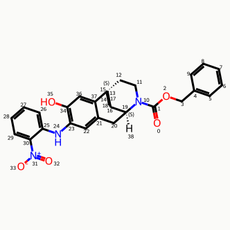 O=C(OCc1ccccc1)N1CC[C@@]23CCCCC2[C@@H]1Cc1cc(Nc2ccccc2[N+](=O)[O-])c(O)cc13